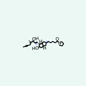 CC#CC[C@@H](C)[C@H](O)/C=C/[C@@H]1[C@H]2C/C(=C/CCCC(=O)N3CCCC3)C[C@H]2C[C@H]1O